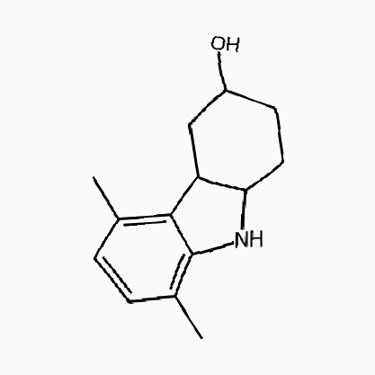 Cc1ccc(C)c2c1NC1CCC(O)CC21